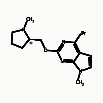 CC(C)c1nc(OC[C@H]2CCCN2C)nc2c1ccn2C